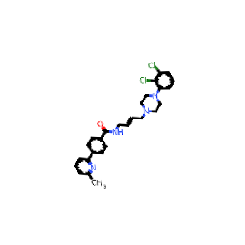 Cc1cccc(-c2ccc(C(=O)NCC=CCN3CCN(c4cccc(Cl)c4Cl)CC3)cc2)n1